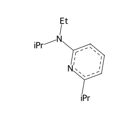 CCN(c1cccc(C(C)C)n1)C(C)C